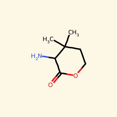 CC1(C)CCOC(=O)C1N